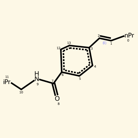 CCC/C=C/c1ccc(C(=O)NCC(C)C)cc1